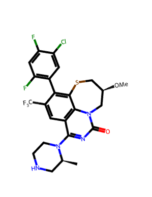 CO[C@@H]1CSc2c(-c3cc(Cl)c(F)cc3F)c(C(F)(F)F)cc3c(N4CCNC[C@@H]4C)nc(=O)n(c23)C1